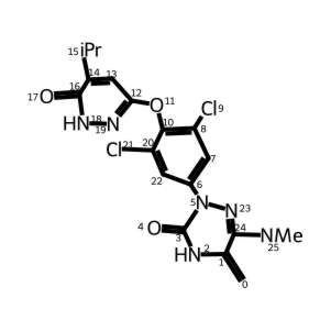 C=C1NC(=O)N(c2cc(Cl)c(Oc3cc(C(C)C)c(=O)[nH]n3)c(Cl)c2)N=C1NC